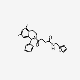 Cc1cc(C)c2c(c1)C(c1ccccc1)N(C(=O)CCC(=O)NCc1ccco1)CC2